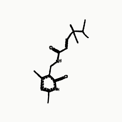 Cc1cc(C)c(CNC(=O)/C=C/C(C)(C)C(C)C)c(=O)[nH]1